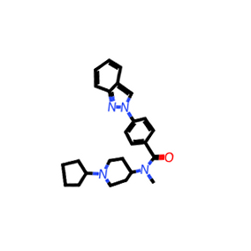 CN(C(=O)c1ccc(-n2cc3ccccc3n2)cc1)C1CCN(C2CCCC2)CC1